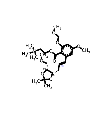 COCOc1cc(OC)cc(/C=C/C[C@@H]2OC(C)(C)O[C@@H]2COC)c1C(=O)OCC[Si](C)(C)C